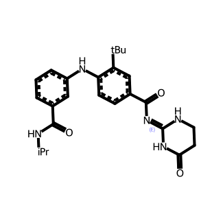 CC(C)NC(=O)c1cccc(Nc2ccc(C(=O)/N=C3\NCCC(=O)N3)cc2C(C)(C)C)c1